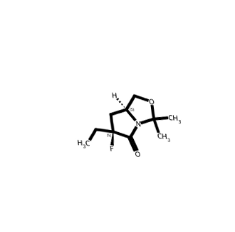 CC[C@]1(F)C[C@H]2COC(C)(C)N2C1=O